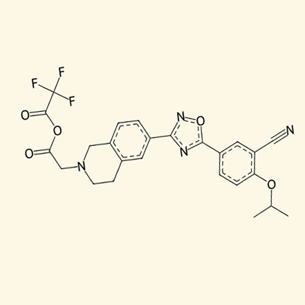 CC(C)Oc1ccc(-c2nc(-c3ccc4c(c3)CCN(CC(=O)OC(=O)C(F)(F)F)C4)no2)cc1C#N